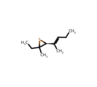 CCC=C(C)[C@@H]1SC1(C)CC